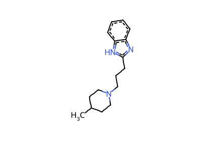 CC1CCN(CCCc2nc3ccccc3[nH]2)CC1